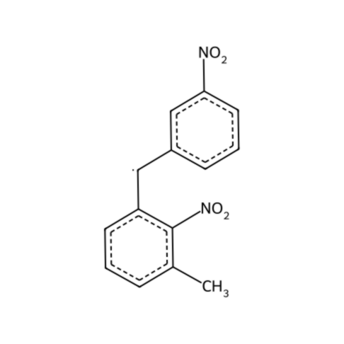 Cc1cccc([CH]c2cccc([N+](=O)[O-])c2)c1[N+](=O)[O-]